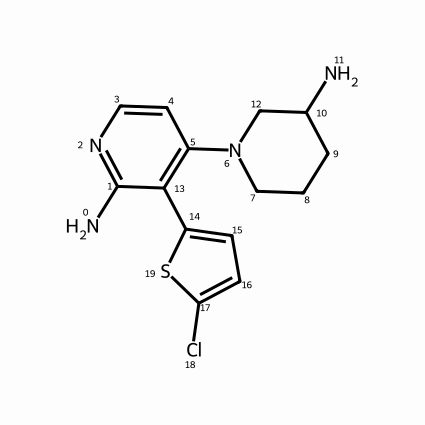 Nc1nccc(N2CCCC(N)C2)c1-c1ccc(Cl)s1